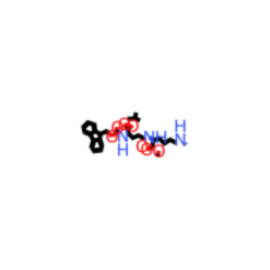 CNCCCCC(NC(=O)CCC(NC(=O)OCC1c2ccccc2-c2ccccc21)C(=O)OC(C)(C)C)C(=O)OC